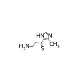 Cc1nc[nH]c1C(=S)CCN